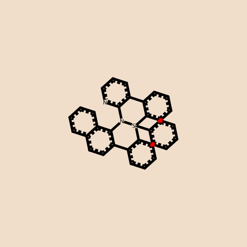 c1ccc([Si]23c4ccccc4-c4cccnc4N2c2c(ccc4ccccc24)-c2ccccc23)cc1